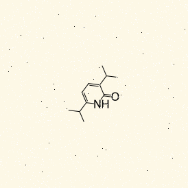 CC(C)c1ccc(C(C)C)c(=O)[nH]1